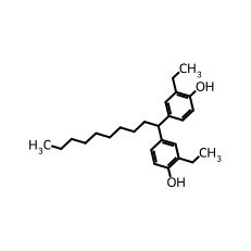 CCCCCCCCCC(c1ccc(O)c(CC)c1)c1ccc(O)c(CC)c1